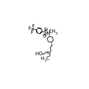 CCN(CCO)CCC[C@H]1CC[C@H](N(C)S(=O)(=O)c2ccc(C(F)(F)F)cc2)CC1